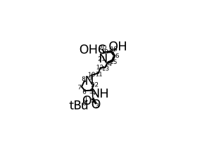 CC(C)(C)OC(=O)NC1CCCN(CCCCc2ccc(O)c(C=O)n2)C1